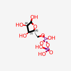 O=P(O)(O)OP(=O)(O)OC[C@H]1OC(O)[C@H](O)[C@@H]1O